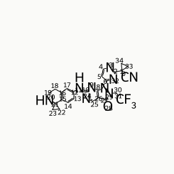 N#CC1(c2nccc(-n3c4nc(Nc5ccc6c(c5)CCNC65CC5)ncc4c(=O)n3CC(F)(F)F)n2)CC1